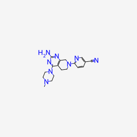 CN1CCN(c2nc(N)nc3c2CCN(c2ccc(C#N)cn2)C3)CC1